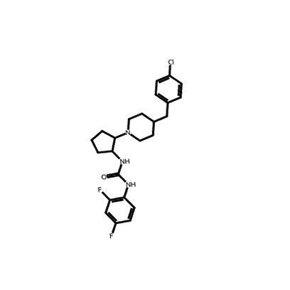 O=C(Nc1ccc(F)cc1F)NC1CCCC1N1CCC(Cc2ccc(Cl)cc2)CC1